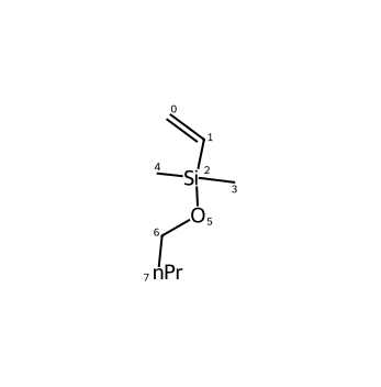 C=C[Si](C)(C)OCCCC